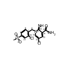 CS(=O)(=O)c1ccc(Cn2cc(Cl)cc(C(N)=O)c2=N)c(Cl)c1